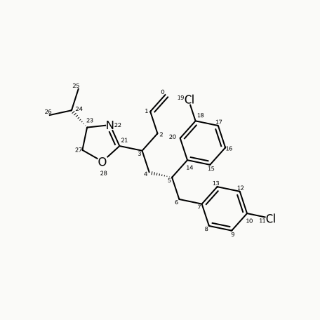 C=CCC(C[C@@H](Cc1ccc(Cl)cc1)c1cccc(Cl)c1)C1=N[C@@H](C(C)C)CO1